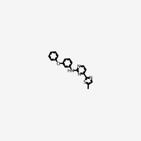 Cc1cnc(-c2ccnc(Nc3cccc(Oc4ccccc4)c3)n2)s1